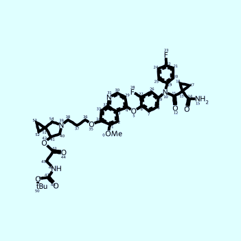 COc1cc2c(Oc3ccc(N(C(=O)C4(C(N)=O)CC4)c4ccc(F)cc4)cc3F)ccnc2cc1OCCCN1CC(OC(=O)CNC(=O)OC(C)(C)C)C2(CC2)C1